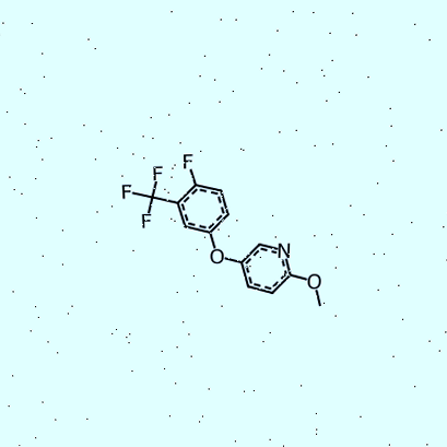 COc1ccc(Oc2ccc(F)c(C(F)(F)F)c2)cn1